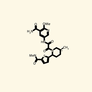 CNC(=O)c1ccc(C2CC[C@H](C)CN2C(=O)C(=O)Nc2cnc(OC)c(C(N)=O)c2)s1